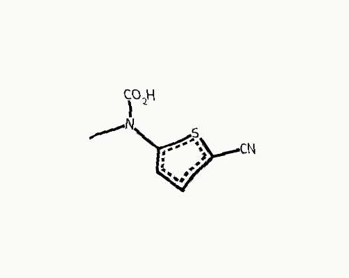 CN(C(=O)O)c1ccc(C#N)s1